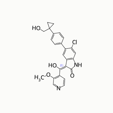 COc1cnccc1/C(O)=C1\C(=O)Nc2cc(Cl)c(-c3ccc(C4(CO)CC4)cc3)cc21